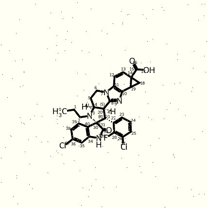 CCCN1[C@H]2CCn3c(nc4c3C=CC3(C(=O)O)CC43)[C@H]2[C@H](c2cccc(Cl)c2F)[C@]12C(=O)Nc1cc(Cl)ccc12